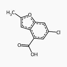 Cc1cc2c(C(=O)O)cc(Cl)cc2o1